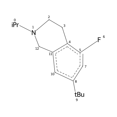 CC(C)N1CCc2c(F)cc(C(C)(C)C)cc2C1